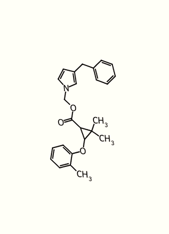 Cc1ccccc1OC1C(C(=O)OCn2ccc(Cc3ccccc3)c2)C1(C)C